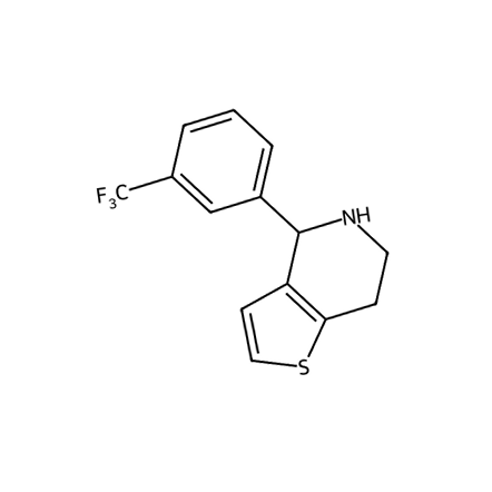 FC(F)(F)c1cccc(C2NCCc3sccc32)c1